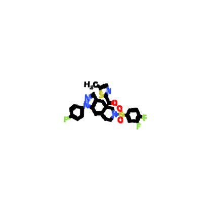 Cc1cnc(C(=O)[C@]23Cc4cnn(-c5ccc(F)cc5)c4C=C2CCN(S(=O)(=O)c2ccc(F)c(F)c2)C3)s1